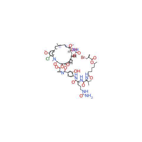 C=C(CBr)C(=O)OC(C)CCCCC(=O)N[C@H](C(=O)N[C@@H](CCCNC(N)=O)C(=O)Nc1ccc(C(=O)N(C)[C@@H](C)C(=O)O[C@H]2CC(=O)N(C)c3cc(cc(OC)c3Cl)C/C(C)=C/C=C/[C@@H](OC)[C@@]3(O)C[C@H](OC(=O)N3)[C@@H](C)[C@@H]3O[C@@]23C)cc1O)C(C)C